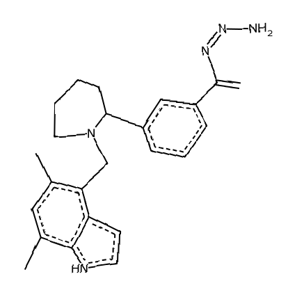 C=C(/N=N\N)c1cccc(C2CCCCN2Cc2c(C)cc(C)c3[nH]ccc23)c1